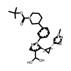 Cn1cc([C@@H]2C[C@H]2c2c(C(O)O)cnn2-c2cccc(C3CCCN(C(=O)OC(C)(C)C)C3)c2)nn1